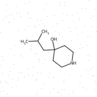 CC(C)CC1(O)CCNCC1